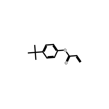 C=CC(=O)Oc1ccc(C(C)(C)C)cc1